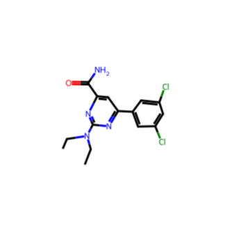 CCN(CC)c1nc(C(N)=O)cc(-c2cc(Cl)cc(Cl)c2)n1